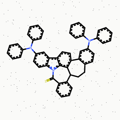 S=C1c2ccccc2C2CCc3ccc(N(c4ccccc4)c4ccccc4)cc3-c3ccc4c5cc(N(c6ccccc6)c6ccccc6)ccc5n1c4c32